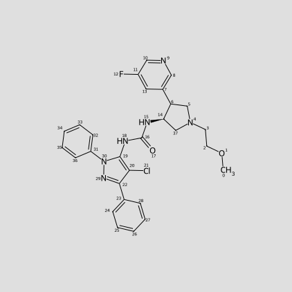 COCCN1CC(c2cncc(F)c2)[C@H](NC(=O)Nc2c(Cl)c(-c3ccccc3)nn2-c2ccccc2)C1